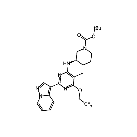 CC(C)(C)OC(=O)N1CCC[C@@H](Nc2nc(-c3cnn4ccccc34)nc(OCC(F)(F)F)c2F)C1